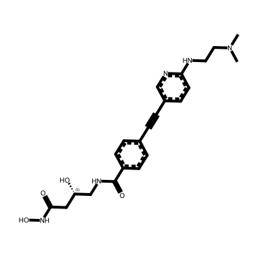 CN(C)CCNc1ccc(C#Cc2ccc(C(=O)NC[C@@H](O)CC(=O)NO)cc2)cn1